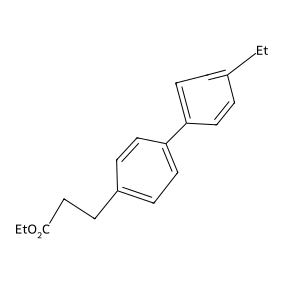 CCOC(=O)CCc1ccc(-c2ccc(CC)cc2)cc1